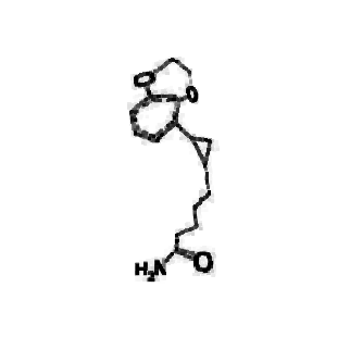 NC(=O)CCCCC1CC1c1cccc2c1OCCO2